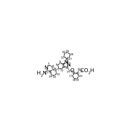 Nc1nccc2c(-c3ccc4c(c3)c(COc3ccccc3CC(=O)O)nn4-c3ccccc3)cccc12